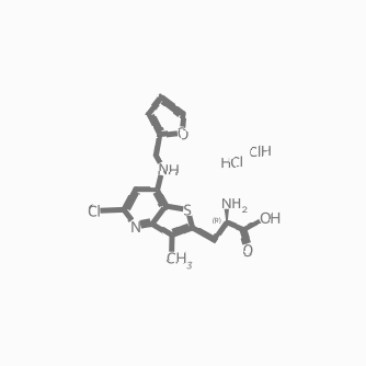 Cc1c(C[C@@H](N)C(=O)O)sc2c(NCc3ccco3)cc(Cl)nc12.Cl.Cl